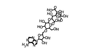 Nc1ncnc2c1ncn2C1OC(COC2C(CO)OC(OC(C(=O)O)C(O)C(OP(=O)(O)O)C(O)C(=O)O)C(O)C2O)C(O)C1O